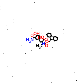 CN(C(=O)OCC1c2ccccc2-c2ccccc21)[C@@H](Cc1ccc(O)c(C(N)=O)c1)C(=O)O